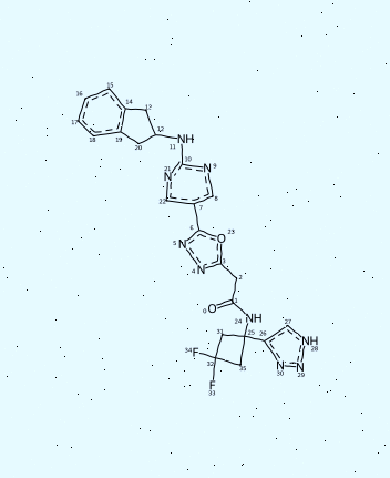 O=C(Cc1nnc(-c2cnc(NC3Cc4ccccc4C3)nc2)o1)NC1(c2c[nH]nn2)CC(F)(F)C1